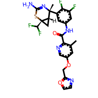 Cc1cc(OCc2ncco2)cnc1C(=O)Nc1cc(F)c(F)c([C@@]2(C)N=C(N)S[C@@]3(C(F)F)C[C@@H]23)c1